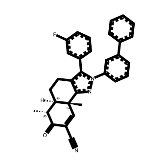 C[C@H]1C(=O)C(C#N)=C[C@@]2(C)c3nn(-c4cccc(-c5ccccc5)c4)c(-c4cccc(F)c4)c3CC[C@H]12